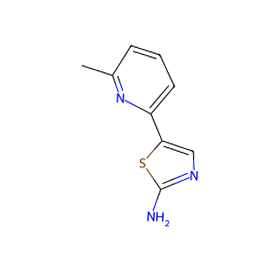 Cc1cccc(-c2cnc(N)s2)n1